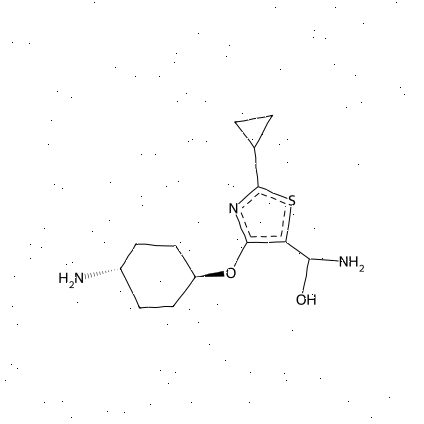 NC(O)c1sc(C2CC2)nc1O[C@H]1CC[C@H](N)CC1